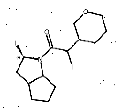 O=C(C(I)C1CCCOC1)N1C2CCCC2C[C@H]1I